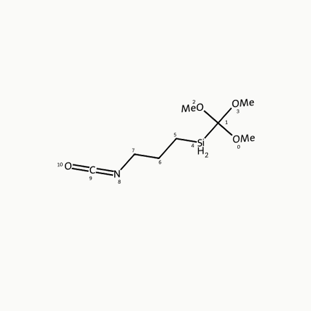 COC(OC)(OC)[SiH2]CCCN=C=O